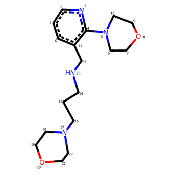 [c]1ccnc(N2CCOCC2)c1CNCCCN1CCOCC1